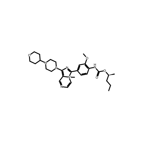 CCC[C@H](C)OC(=O)Nc1ccc(C2=NC(N3CCN(C4CCOCC4)CC3)=C3C=NC=C[N+]23C)cc1OC